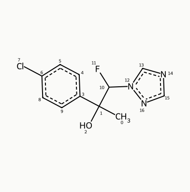 CC(O)(c1ccc(Cl)cc1)C(F)n1cncn1